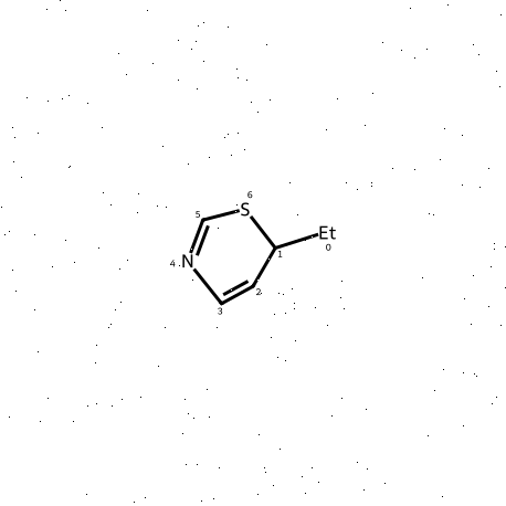 CCC1C=CN=CS1